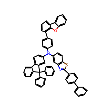 c1ccc(-c2ccc(-c3nc4cc(N(c5ccc(-c6cccc7c6oc6ccccc67)cc5)c5ccc6c(c5)C(c5ccccc5)(c5ccccc5)c5ccccc5-6)ccc4s3)cc2)cc1